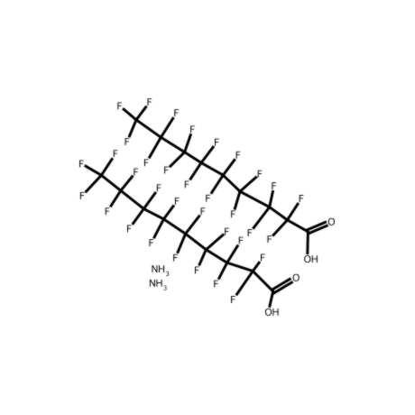 N.N.O=C(O)C(F)(F)C(F)(F)C(F)(F)C(F)(F)C(F)(F)C(F)(F)C(F)(F)C(F)(F)F.O=C(O)C(F)(F)C(F)(F)C(F)(F)C(F)(F)C(F)(F)C(F)(F)C(F)(F)C(F)(F)F